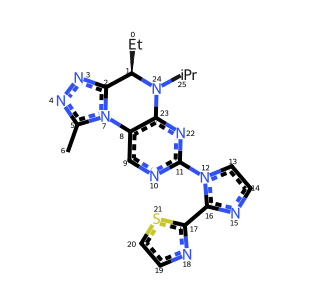 CC[C@@H]1c2nnc(C)n2-c2cnc(-n3ccnc3-c3nccs3)nc2N1C(C)C